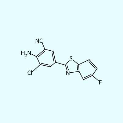 N#Cc1cc(-c2nc3cc(F)ccc3s2)cc(Cl)c1N